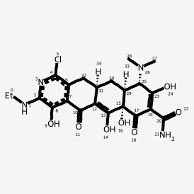 CCNc1nc(Cl)c2c(c1O)C(=O)C1=C(O)[C@]3(O)C(=O)C(C(N)=O)=C(O)[C@@H](N(C)C)[C@@H]3C[C@@H]1C2